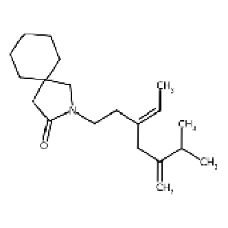 C=C(C/C(=C/C)CCN1CC2(CCCCC2)CC1=O)C(C)C